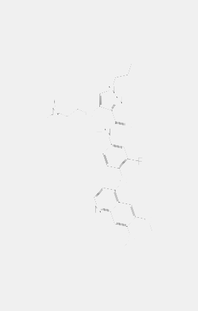 CCCn1cc(OCCN(C)C)c(C(=O)Nc2ccc(Oc3ccnc4cc(OC)c(OC)cc34)c(F)c2)n1